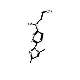 Cc1cc(C)n(-c2ccc(N(N)CCO)nn2)n1